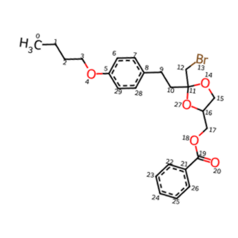 CCCCOc1ccc(CCC2(CBr)OCC(COC(=O)c3ccccc3)O2)cc1